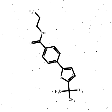 CCCNC(=O)c1ccc(-c2ccc(C(C)(C)C)s2)cc1